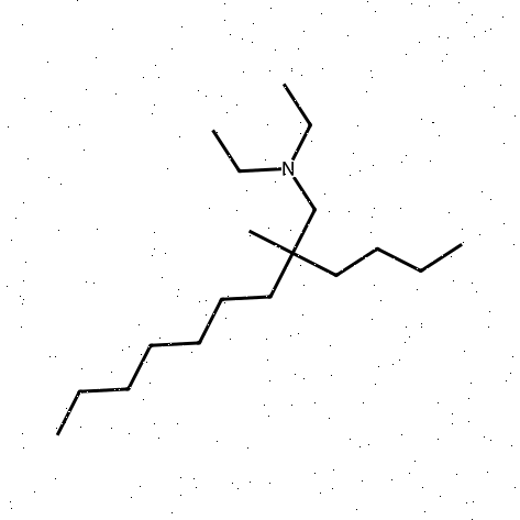 CCCCCCCC(C)(CCCC)CN(CC)CC